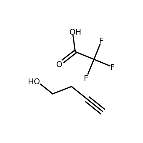 C#CCCO.O=C(O)C(F)(F)F